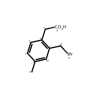 Cc1ccc(CC(=O)O)c(CC(C)C)c1